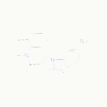 CC1CCCCC1N(C)C(=O)c1cn2c(nc3ccc([N+](=O)[O-])cc32)s1